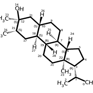 CC(C)[C@H]1CC[C@H]2[C@@H]3CC[C@H]4C[C@](C)(O)[C@@H](C)C[C@@H]4[C@H]3CC[C@]12C